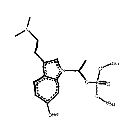 COc1ccc2c(CCN(C)C)cn(C(C)OP(=O)(OC(C)(C)C)OC(C)(C)C)c2c1